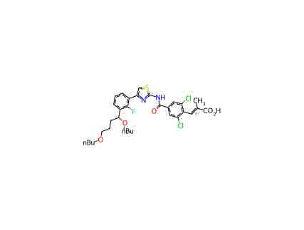 CCCCOCCCC(OCCCC)c1cccc(-c2csc(NC(=O)c3cc(Cl)c(/C=C(\C)C(=O)O)c(Cl)c3)n2)c1F